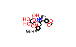 COc1ccc(Cc2c(O[C@@H]3O[C@H](CO)[C@@H](O)[C@H](O)[C@H]3O)nn(C(C)C)c2-c2ccc3c(c2)OCCO3)cc1